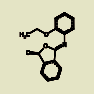 CCOc1ccccc1/N=C1\OC(=O)c2ccccc21